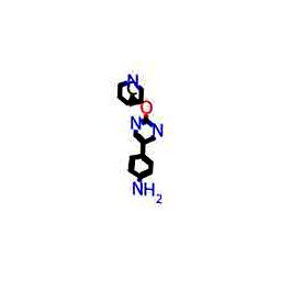 Nc1ccc(-c2cnc(OC3CN4CCC3CC4)nc2)cc1